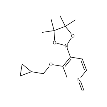 C=N/C=C\C(=C(/C)OCC1CC1)N1OC(C)(C)C(C)(C)O1